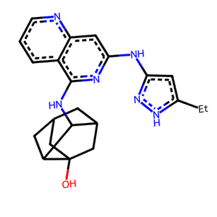 CCc1cc(Nc2cc3ncccc3c(NC3C4CC5CC3C(O)(C5)C4)n2)n[nH]1